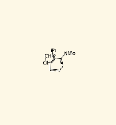 CNc1ccccc1C(C)C.O=CO